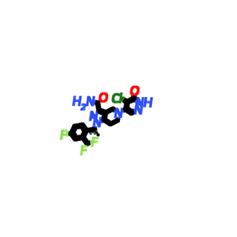 C[C@H](c1ccc(F)cc1C(F)F)n1nc(C(N)=O)c2c1CCN(c1cn[nH]c(=O)c1Cl)C2